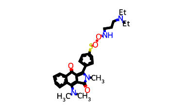 CCN(CC)CCCNOOSc1ccc(C2=C3C(=O)c4ccccc4C(N(C)C)=C3C(=O)N2C)cc1